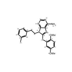 COc1ccc(OC)c(Sc2nc3c(N)ncnc3n2CCc2cccc(C)c2)c1